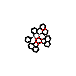 c1ccc(-c2cccc(N(c3ccccc3)c3ccc4c(c3)-c3cccc5cccc-4c35)c2N(c2ccccc2)c2ccc3c(c2)-c2cccc4cccc-3c24)cc1